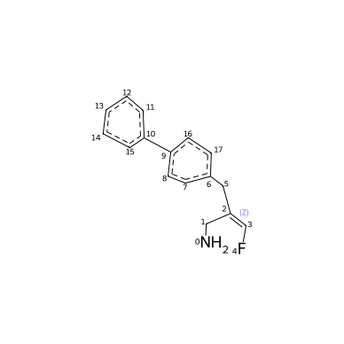 NC/C(=C\F)Cc1ccc(-c2ccccc2)cc1